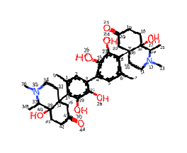 Cc1cc(-c2cc(C)c([C@]34CCN(C)C(C)C3(O)CCC(=O)C4)c(O)c2O)c(O)c(O)c1C12CCN(C)C(C)C1(O)CCC(=O)C2